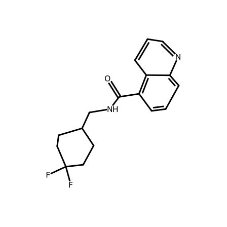 O=C(NCC1CCC(F)(F)CC1)c1cccc2ncccc12